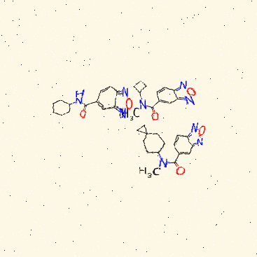 CN(C(=O)c1ccc2nonc2c1)C1CCC1.CN(C(=O)c1ccc2nonc2c1)C1CCC2(CC1)CC2.O=C(NC1CCCCC1)c1ccc2nonc2c1